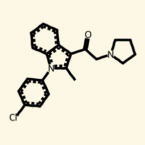 Cc1c(C(=O)CN2CCCC2)c2ccccc2n1-c1ccc(Cl)cc1